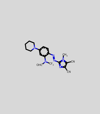 Cn1c(N=Nc2ccc(N3CCCCC3)cc2N(C=O)C(F)(F)F)nc(C#N)c1C#N